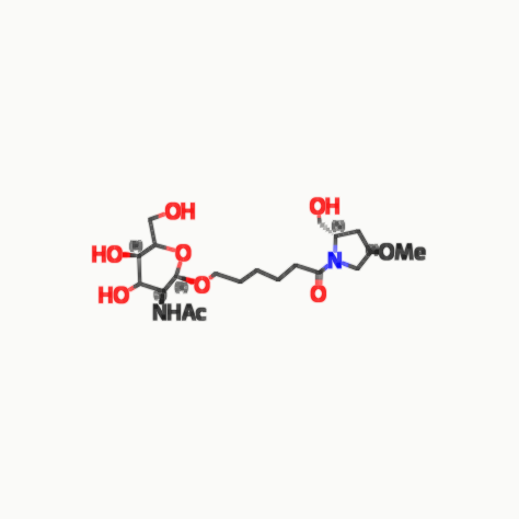 CO[C@@H]1C[C@@H](CO)N(C(=O)CCCCCO[C@@H]2OC(CO)[C@H](O)C(O)[C@@H]2NC(C)=O)C1